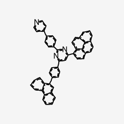 c1ccc2c(c1)cc(-c1ccc(-c3cc(-c4ccc5ccc6cccc7ccc4c5c67)nc(-c4ccc(-c5ccncc5)cc4)n3)cc1)c1ccccc12